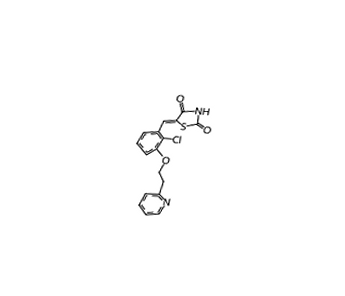 O=C1NC(=O)C(=Cc2cccc(OCCc3ccccn3)c2Cl)S1